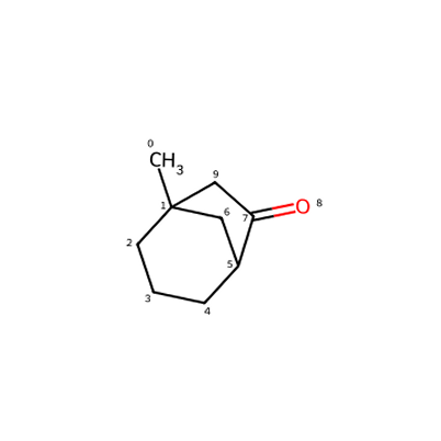 CC12CCCC(C1)C(=O)C2